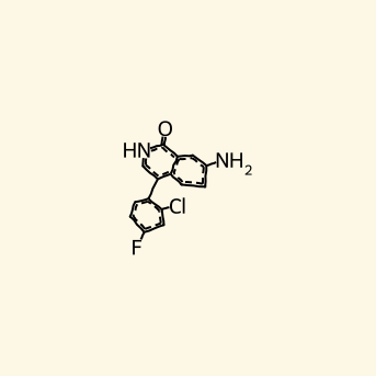 Nc1ccc2c(-c3ccc(F)cc3Cl)c[nH]c(=O)c2c1